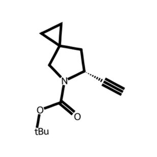 C#C[C@H]1CC2(CC2)CN1C(=O)OC(C)(C)C